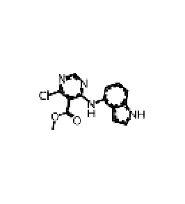 COC(=O)c1c(Cl)ncnc1Nc1cccc2[nH]ccc12